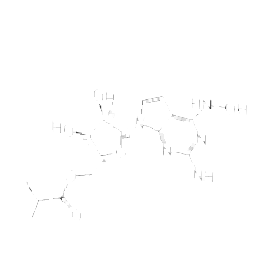 CC(C)C(=O)OC[C@H]1O[C@@H](n2ccc3c(NO)nc(N)nc32)[C@H](O)[C@@H]1O